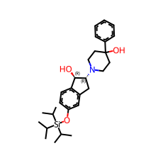 CC(C)[Si](Oc1ccc2c(c1)C[C@@H](N1CCC(O)(c3ccccc3)CC1)[C@@H]2O)(C(C)C)C(C)C